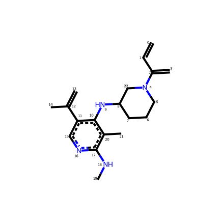 C=CC(=C)N1CCCC(Nc2c(C(=C)C)cnc(NC)c2C)C1